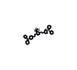 C(=C\c1ccc(/C=C/c2ccc(N(c3ccccc3)c3ccccc3)cc2)c2nsnc12)/c1ccc(N(c2ccccc2)c2ccccc2)cc1